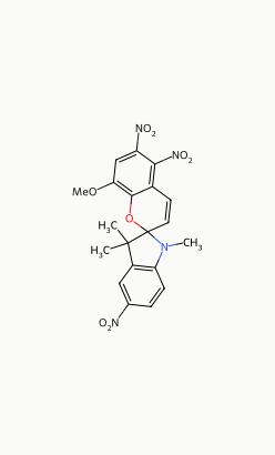 COc1cc([N+](=O)[O-])c([N+](=O)[O-])c2c1OC1(C=C2)N(C)c2ccc([N+](=O)[O-])cc2C1(C)C